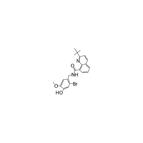 COc1cc(CNC(=O)c2cccc3ccc(C(C)(C)C)nc23)c(Br)cc1O